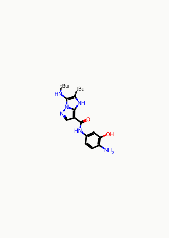 CC(C)(C)Nc1c(C(C)(C)C)[nH]c2c(C(=O)Nc3ccc(N)c(O)c3)cnn12